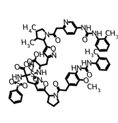 C.COc1cc(CC(=O)N2CCCC2c2cc(CC(NS(=O)(=O)c3ccccc3)(C(=O)O)S(=O)(=O)NC(Cc3cc(C4C(C)CCN4C(=O)Cc4ccc(NC(=O)Nc5ccccc5C)cn4)on3)C(=O)O)no2)ccc1NC(=O)Nc1ccccc1C